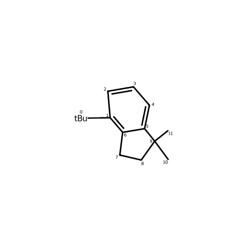 CC(C)(C)c1cccc2c1CCC2(C)C